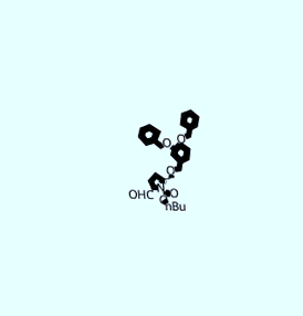 CCCCOC(=O)N1[C@@H](COCc2ccc(OCc3ccccc3)c(OCc3ccccc3)c2)CC[C@H]1C=O